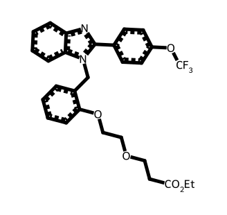 CCOC(=O)CCOCCOc1ccccc1Cn1c(-c2ccc(OC(F)(F)F)cc2)nc2ccccc21